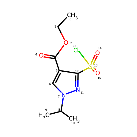 CCOC(=O)c1cn(C(C)C)nc1S(=O)(=O)Cl